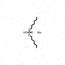 CCCCCCOP(=O)(O)OCCCCCC.[Mo]